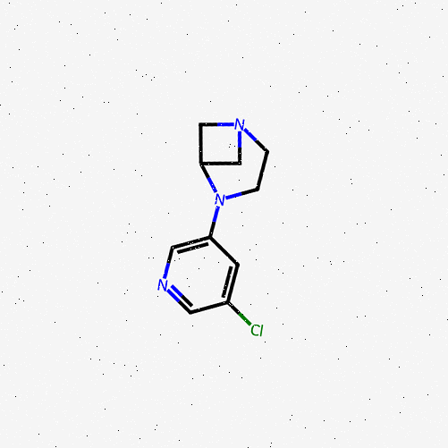 Clc1cncc(N2CCN3CC2C3)c1